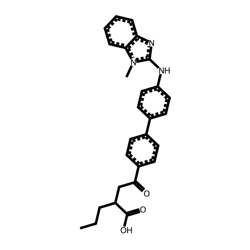 CCCC(CC(=O)c1ccc(-c2ccc(Nc3nc4ccccc4n3C)cc2)cc1)C(=O)O